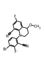 COC1CCN(c2ccc(Br)c(F)c2C#N)c2c(C#N)cc(F)cc21